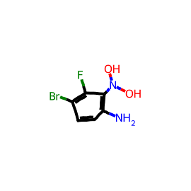 Nc1ccc(Br)c(F)c1N(O)O